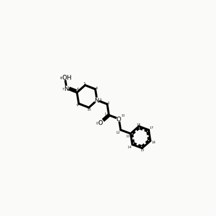 O=C(CN1CCC(=NO)CC1)OCc1ccccc1